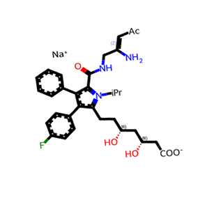 CC(=O)/C=C(\N)CNC(=O)c1c(-c2ccccc2)c(-c2ccc(F)cc2)c(CC[C@@H](O)C[C@@H](O)CC(=O)[O-])n1C(C)C.[Na+]